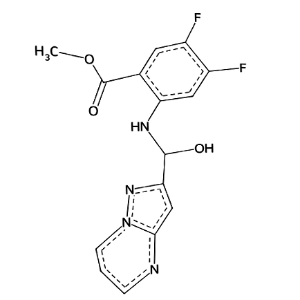 COC(=O)c1cc(F)c(F)cc1NC(O)c1cc2ncccn2n1